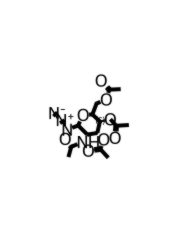 CC(=O)NC1C(N=[N+]=[N-])OC(COC(C)=O)[C@@H](OC(C)=O)C1OC(C)=O